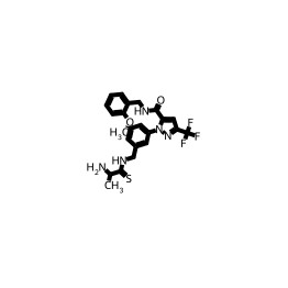 COc1ccccc1CNC(=O)c1cc(C(F)(F)F)nn1-c1cccc(CNC(=S)C(C)N)c1